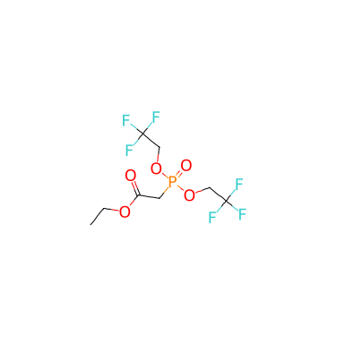 CCOC(=O)CP(=O)(OCC(F)(F)F)OCC(F)(F)F